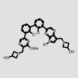 CCn1cc(CN2CC(O)C2)c2ncc(-c3cccc(-c4cccc(-c5cnc(CN6CC(O)C6)c(OC)n5)c4Cl)c3Cl)nc21